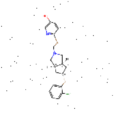 Oc1ccc(SCN2C[C@H]3C[C@H](Sc4ccccc4F)C[C@H]3C2)nc1